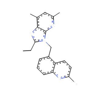 CCc1nc2c(C)cc(C)nc2n1Cc1cccc2n[c]([Na])ccc12